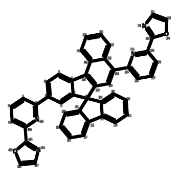 c1cc(-c2ccc3c(c2)C2(c4ccccc4-c4ccccc42)c2cc(-c4cccc(-c5ncco5)n4)c4ccccc4c2-3)nc(-c2ncco2)c1